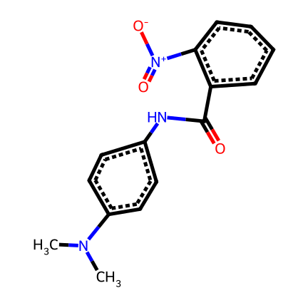 CN(C)c1ccc(NC(=O)c2ccccc2[N+](=O)[O-])cc1